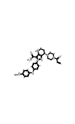 C=CC(=O)N1CCN([C@@H]2CCNc3c2nn(-c2ccc(Oc4ccc(OC)cc4)cc2)c3C(N)=O)CC1